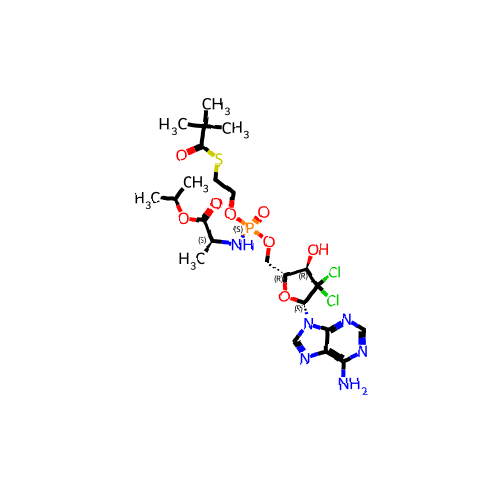 CC(C)OC(=O)[C@H](C)N[P@@](=O)(OCCSC(=O)C(C)(C)C)OC[C@H]1O[C@@H](n2cnc3c(N)ncnc32)C(Cl)(Cl)[C@@H]1O